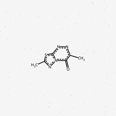 Cc1nn2c(=O)c(C)nnc2s1